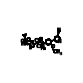 CCOc1cc(NC(=O)C(C)(C)c2csc(NS(=O)(=O)C3CC3)n2)ccc1-c1cncc(C#N)c1